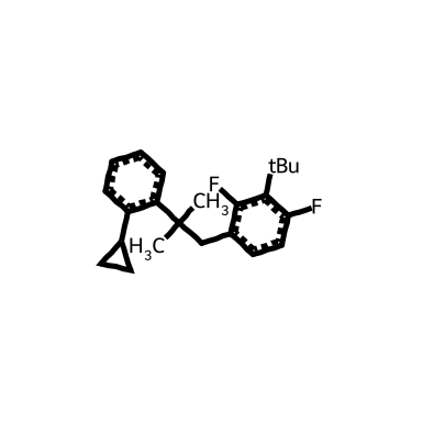 CC(C)(C)c1c(F)ccc(CC(C)(C)c2ccccc2C2CC2)c1F